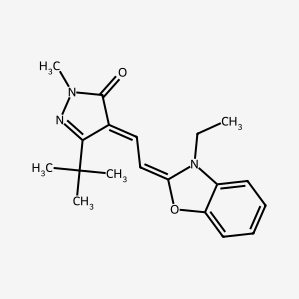 CCN1/C(=C\C=C2\C(=O)N(C)N=C2C(C)(C)C)Oc2ccccc21